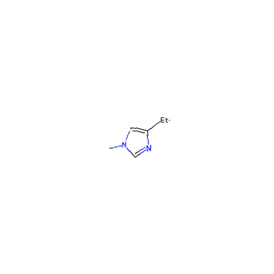 C[CH]c1cn(C)cn1